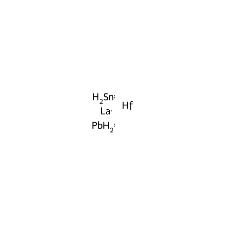 [Hf].[La].[PbH2].[SnH2]